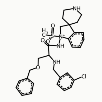 CS(=O)(=O)[N+]1(NC(=O)C(COCc2ccccc2)NCc2cccc(Cl)c2)CC2(CCNCC2)c2ccccc21